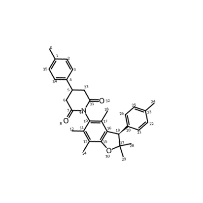 Cc1ccc(C2CC(=O)N(c3c(C)c(C)c4c(c3C)[C@@H](c3ccc(C)cc3)C(C)(C)O4)C(=O)C2)cc1